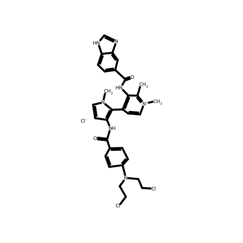 Cc1c(NC(=O)c2ccc3[nH]cnc3c2)c(-c2c(NC(=O)c3ccc(N(CCCl)CCCl)cc3)ccn2C)cc[n+]1C.[Cl-]